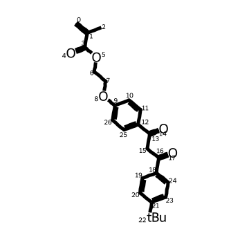 C=C(C)C(=O)OCCOc1ccc(C(=O)CC(=O)c2ccc(C(C)(C)C)cc2)cc1